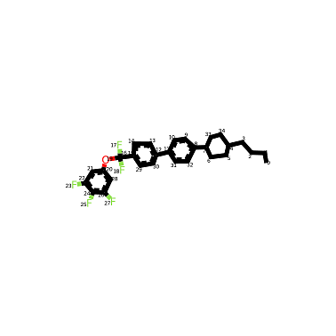 CCCCC1CCC(c2ccc(-c3ccc(C(F)(F)Oc4cc(F)c(F)c(F)c4)cc3)cc2)CC1